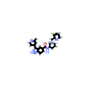 Cc1cc(-c2n[nH]c3ccc(C(=O)N[C@@H]4CCCN(Cc5ncccc5F)C4)cc23)ccn1